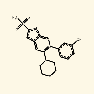 NS(=O)(=O)c1cc2c(s1)=NS(c1cccc(O)c1)=C(N1CCOCC1)C=2